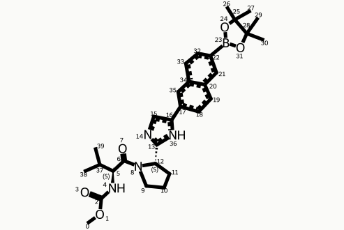 COC(=O)N[C@H](C(=O)N1CCC[C@H]1c1ncc(-c2ccc3cc(B4OC(C)(C)C(C)(C)O4)ccc3c2)[nH]1)C(C)C